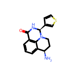 N[C@@H]1CCN2c3c(cccc31)C(=O)N[C@H]2c1ccsc1